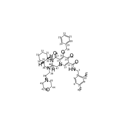 O=C(NCc1ccc(F)cc1F)c1cn2c(c(OCc3ccccc3)c1=O)C(=O)N1[C@H]3CCCC[C@H]3CN(CCN3CCOCC3)[C@@H]1C2